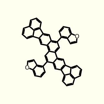 c1cc2c3c(cccc3c1)-c1cc3c(cc1-2)c(-c1cccc2occc12)cc1c2cc4c(cc2c(-c2cccc5occc25)cc31)-c1cccc2cccc-4c12